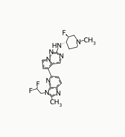 Cc1nc2ccc(-c3ccn4nc(N[C@H]5CCN(C)C[C@@H]5F)ncc34)nc2n1CC(F)F